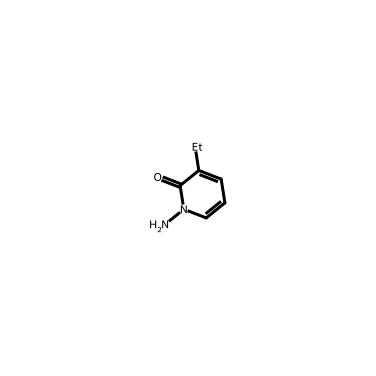 CCc1cccn(N)c1=O